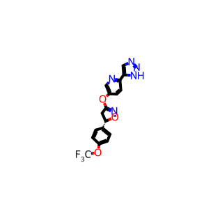 FC(F)(F)Oc1ccc([C@@H]2CC(Oc3ccc(-c4cnn[nH]4)nc3)=NO2)cc1